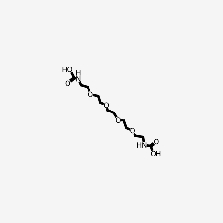 O=C(O)NCCOCCOCCOCCOCCNC(=O)O